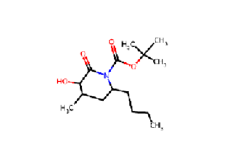 CCCCC1CC(C)C(O)C(=O)N1C(=O)OC(C)(C)C